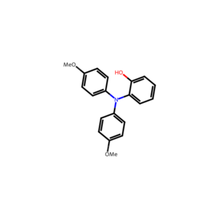 COc1ccc(N(c2ccc(OC)cc2)c2ccccc2O)cc1